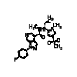 CC[C@H](c1cc(S(C)(=O)=O)cn1C)N(C)C(=O)c1cncc2c1cnn2-c1ccc(F)cc1